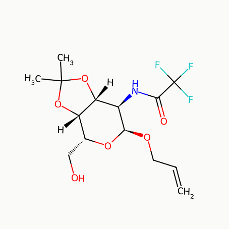 C=CCO[C@H]1O[C@H](CO)[C@@H]2OC(C)(C)O[C@@H]2[C@H]1NC(=O)C(F)(F)F